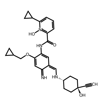 C#C[C@]1(O)CC[C@H](N/C=C2/C=C(NC(=O)c3cccc(C4CC4)[n+]3O)C(OCC3CC3)=CC2=N)CC1